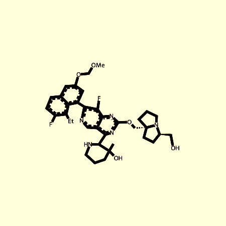 CCc1c(F)ccc2cc(OCOC)cc(-c3ncc4c(C5NCCCC5(C)O)nc(OC[C@]56CCCN5[C@@H](CO)CC6)nc4c3F)c12